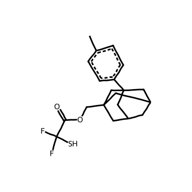 Cc1ccc(C23CC4CC(CC(COC(=O)C(F)(F)S)(C4)C2)C3)cc1